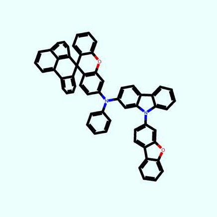 c1ccc(N(c2ccc3c(c2)Oc2ccccc2C32c3ccccc3-c3cccc4cccc2c34)c2ccc3c4ccccc4n(-c4ccc5c(c4)oc4ccccc45)c3c2)cc1